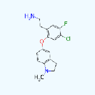 CN1CCc2cc(Oc3cc(Cl)c(F)cc3CCN)ccc21